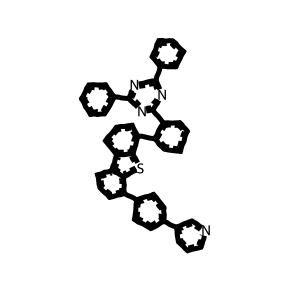 c1ccc(-c2nc(-c3ccccc3)nc(-c3ccccc3-c3cccc4c3sc3c(-c5ccc(-c6cccnc6)cc5)cccc34)n2)cc1